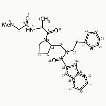 CNCC(=O)NC(C)C(=O)N1CCCC1CN(CCc1ccccc1)C(=O)c1cn2cccnc2n1